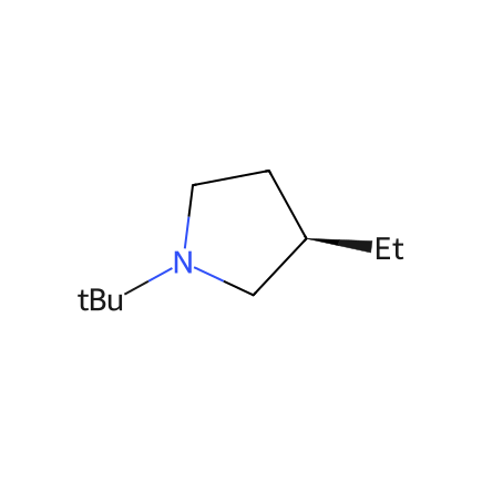 CC[C@@H]1CCN(C(C)(C)C)C1